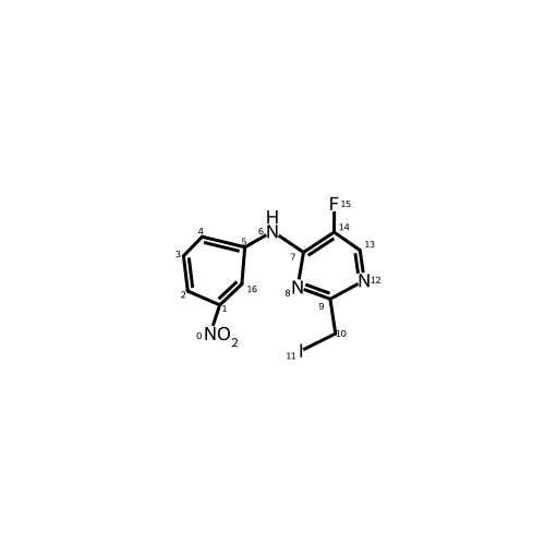 O=[N+]([O-])c1cccc(Nc2nc(CI)ncc2F)c1